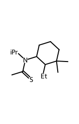 CCC1C(N(C(C)=S)C(C)C)CCCC1(C)C